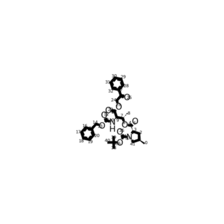 C[C@@H]1C[C@@H](C(=O)O[C@@H](C)[C@H](NC(=O)OCc2ccccc2)C(=O)OCC(=O)c2ccccc2)N(C(=O)OC(C)(C)C)C1